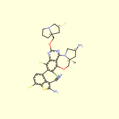 N#Cc1c(N)sc2c(F)ccc(-c3c(Cl)c4c5c(nc(OC[C@@]67CCCN6C[C@H](F)C7)nc5c3F)N3C[C@@H](N)C[C@H]3CO4)c12